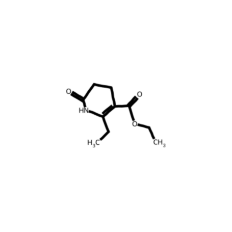 CCOC(=O)C1=C(CC)NC(=O)CC1